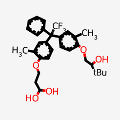 Cc1cc(C(c2ccccc2)(c2ccc(OCC(O)C(C)(C)C)c(C)c2)C(F)(F)F)ccc1OCCC(O)O